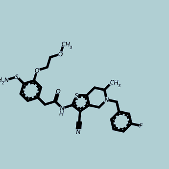 COCCOc1cc(CC(=O)Nc2sc3c(c2C#N)CN(Cc2cccc(F)c2)C(C)C3)ccc1SN